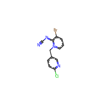 N#C/N=c1/c(Br)cccn1Cc1ccc(Cl)nc1